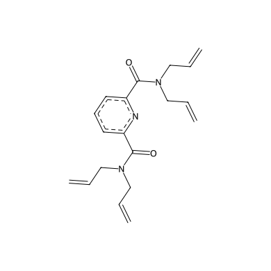 C=CCN(CC=C)C(=O)c1cccc(C(=O)N(CC=C)CC=C)n1